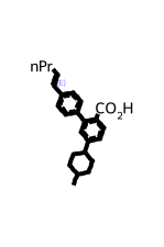 CCC/C=C/c1ccc(-c2cc(C3CCC(C)CC3)ccc2C(=O)O)cc1